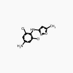 Cc1cc(Nc2c(Cl)cc(N)cc2Cl)no1